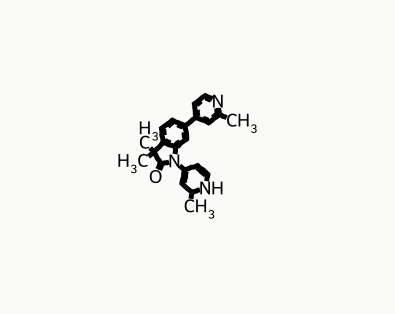 Cc1cc(-c2ccc3c(c2)N(C2=CC(C)NC=C2)C(=O)C3(C)C)ccn1